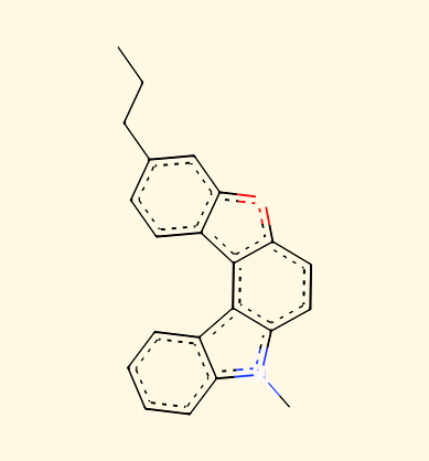 CCCc1ccc2c(c1)oc1ccc3c(c4ccccc4n3C)c12